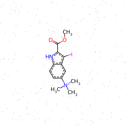 COC(=O)c1[nH]c2ccc([N+](C)(C)C)cc2c1I